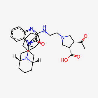 CC(=O)[C@@H]1CN(CCNc2nc3ccccc3n([C@H]3C[C@H]4CCC[C@@H](C3)N4C34CC5CC(CC3C5)C4)c2=O)C[C@H]1C(=O)O